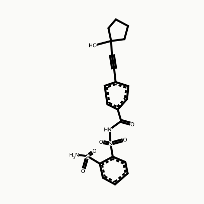 NS(=O)(=O)c1ccccc1S(=O)(=O)NC(=O)c1ccc(C#CC2(O)CCCC2)cc1